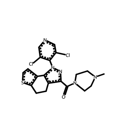 CN1CCN(C(=O)c2nn(-c3c(Cl)cncc3Cl)c3c2CCc2sccc2-3)CC1